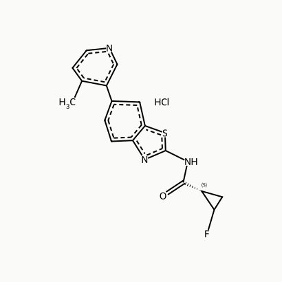 Cc1ccncc1-c1ccc2nc(NC(=O)[C@@H]3CC3F)sc2c1.Cl